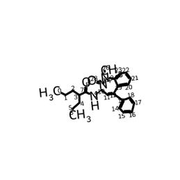 CCCC(CCC)C(=O)N[C@@H]1C=C(c2ccccc2)c2ccccc2N(C)[N+]1=O